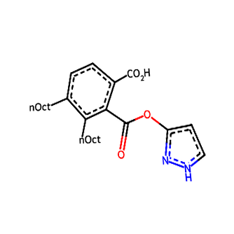 CCCCCCCCc1ccc(C(=O)O)c(C(=O)Oc2cc[nH]n2)c1CCCCCCCC